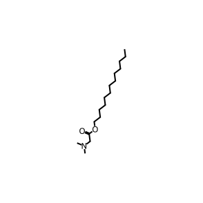 CCCCCCCCCCCCCOC(=O)CN(C)C